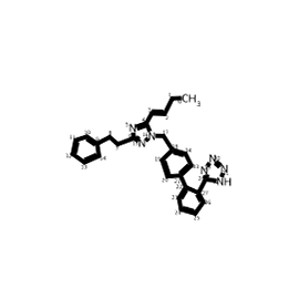 CC/C=C/c1nc(CCc2ccccc2)nn1Cc1ccc(-c2ccccc2-c2nnn[nH]2)cc1